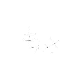 FC(F)(F)C(F)(F)O[Si](F)(F)OC(F)(F)C(F)(F)F